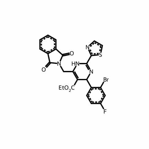 CCOC(=O)C1=C(CN2C(=O)c3ccccc3C2=O)NC(c2nccs2)=NC1c1ccc(F)cc1Br